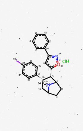 CN1C2CCC1[C@@H](c1cc(-c3ccccc3)no1)[C@@H](c1ccc(I)cc1)C2.Cl